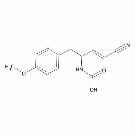 COc1ccc(CC(/C=C/C#N)NC(=O)O)cc1